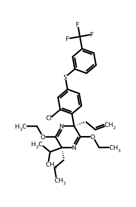 C=CC[C@@]1(c2ccc(Sc3cccc(C(F)(F)F)c3)cc2Cl)N=C(OCC)[C@](CCC)(C(C)C)N=C1OCC